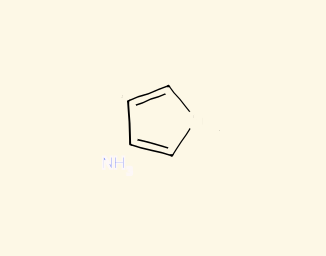 C1=C[SiH2]C=C1.N